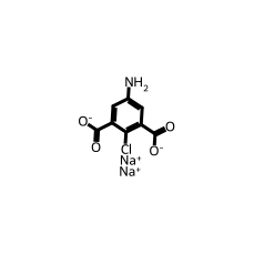 Nc1cc(C(=O)[O-])c(Cl)c(C(=O)[O-])c1.[Na+].[Na+]